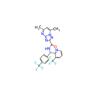 Cc1cc(C)n2nc(C(=O)NC(c3ccc(C(F)(F)F)cc3)c3ncccc3C(F)(F)F)nc2n1